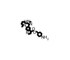 Cc1cccc(-c2[nH]cnc2-c2ccc3nccc(C(=O)OCC4CCC(N)CC4)c3c2)n1